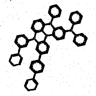 C1=CC(c2ccc(-c3ccc4c(c3)N(c3cccc(C5=CCCC=C5)c3)c3cccc5c3B4c3ccc(N(c4ccccc4)c4ccccc4)cc3N5c3ccccc3)cc2)=CCC1